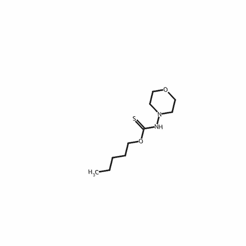 CCCCCOC(=S)NN1CCOCC1